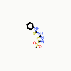 CS(=O)(=O)c1nnc(NC(=S)Nc2ccccc2)s1